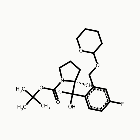 CC(C)(C)OC(=O)N1CCC[C@@]1(C)C(C)(O)c1ccc(F)cc1COC1CCCCO1